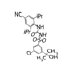 CC(C)c1cc(C#N)cc(C(C)C)c1NC(=O)NS(=O)(=O)c1cc(Cl)cc(C(C)(C)O)c1